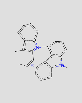 C/C=C\c1c(C)c2ccccc2n1-c1cccc2c1c1ccccc1n2C